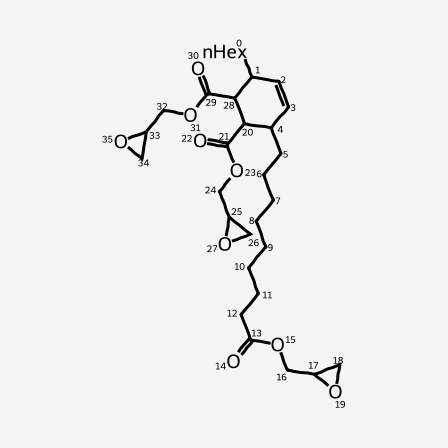 CCCCCCC1C=CC(CCCCCCCCC(=O)OCC2CO2)C(C(=O)OCC2CO2)C1C(=O)OCC1CO1